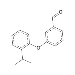 CC(C)c1ccccc1Oc1cccc(C=O)c1